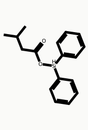 CC(C)CC(=O)O[SiH](c1ccccc1)c1ccccc1